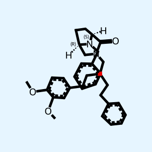 COc1ccc(CCC(CCc2ccccc2)CN2C[C@H]3CC[C@@H](C2=O)N3Cc2ccccc2)cc1OC